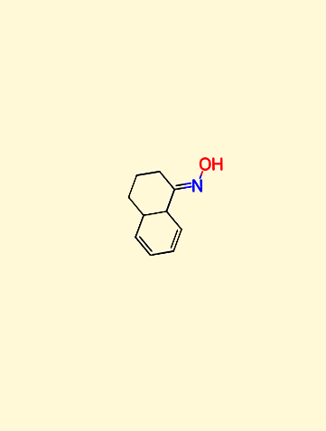 ON=C1CCCC2C=CC=CC12